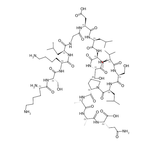 CC(C)C[C@H](NC(=O)[C@H](CCCCN)NC(=O)[C@H](CO)NC(=O)[C@@H](N)CCCCN)C(=O)NCC(=O)N[C@@H](CC(=O)O)C(=O)N[C@@H](CC(C)C)C(=O)N[C@H](C(=O)N[C@H](C(=O)N[C@H](C(=O)N[C@@H](CO)C(=O)N[C@@H](CC(C)C)C(=O)N1CCC[C@H]1C(=O)N[C@@H](C)C(=O)N[C@@H](C)C(=O)N[C@@H](CCC(N)=O)C(=O)O)C(C)C)[C@@H](C)O)C(C)C